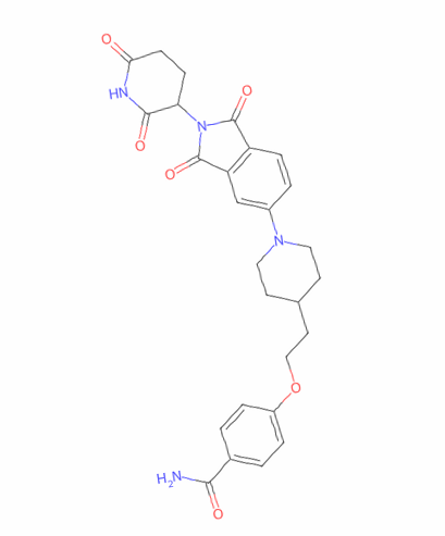 NC(=O)c1ccc(OCCC2CCN(c3ccc4c(c3)C(=O)N(C3CCC(=O)NC3=O)C4=O)CC2)cc1